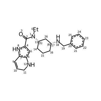 CCN(C(=O)c1cc2c([nH]1)C=CCN2)[C@H]1CCC[C@@H](NCc2ccccc2)C1